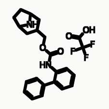 O=C(Nc1ccccc1-c1ccccc1)OCC1CC2CCC(C1)N2.O=C(O)C(F)(F)F